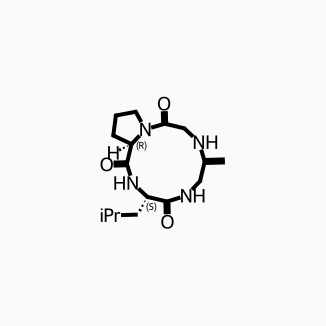 C=C1CNC(=O)[C@H](CC(C)C)NC(=O)[C@H]2CCCN2C(=O)CN1